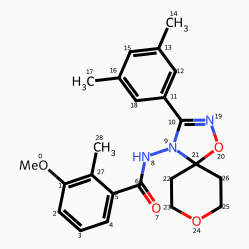 COc1cccc(C(=O)NN2C(c3cc(C)cc(C)c3)=NOC23CCOCC3)c1C